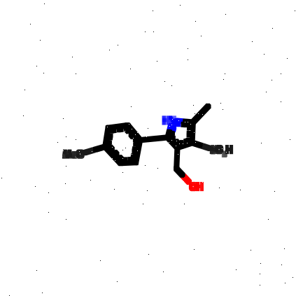 COc1ccc(-c2[nH]c(C)c(S(=O)(=O)O)c2CO)cc1